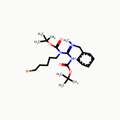 C[N+](Cc1ccccc1)=C(NC(=O)OC(C)(C)C)N(CCCCCBr)C(=O)OC(C)(C)C